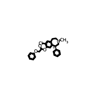 CN1CCc2cc(Cl)c(OC(=O)COc3ccccc3)cc2[C@H](c2ccccc2)C1